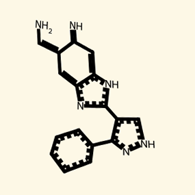 N=C1C=c2[nH]c(-c3c[nH]nc3-c3ccccc3)nc2=C/C1=C/N